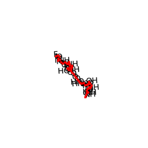 CCCNC(=O)Nc1cccc(S(=O)(=O)Nc2cccc([C@@H](CC(=O)O)NC(=O)Nc3ccc(NC(=O)NCCOCCOCCOCCC(=O)N[C@@H](CC(=O)O)C(=O)N4CCC[C@H]4C(=O)N[C@H](C(=O)N=[S@](C)(=O)Cc4cccc(Nc5ncnc(-c6ccc(F)cc6OC)n5)c4)C(C)C)cc3)c2)c1